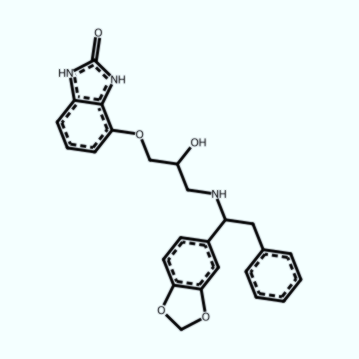 O=c1[nH]c2cccc(OCC(O)CNC(Cc3ccccc3)c3ccc4c(c3)OCO4)c2[nH]1